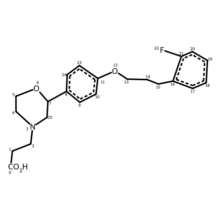 O=C(O)CCN1CCOC(c2ccc(OCCCc3ccccc3F)cc2)C1